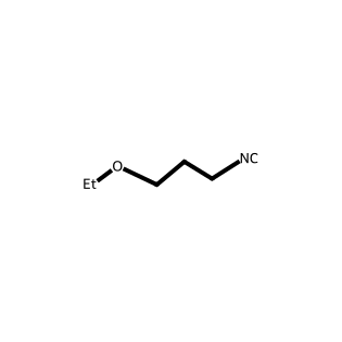 [C-]#[N+]CCCOCC